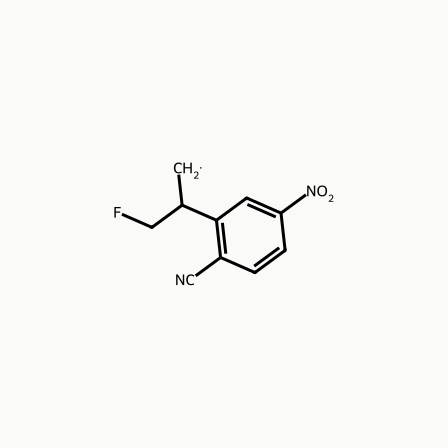 [CH2]C(CF)c1cc([N+](=O)[O-])ccc1C#N